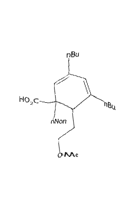 CCCCCCCCCC1(C(=O)O)C=C(CCCC)C=C(CCCC)C1CCOC